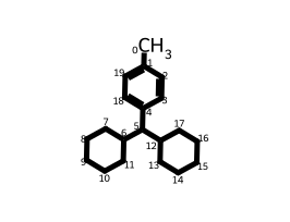 Cc1ccc(C(C2CCCCC2)C2CCCCC2)cc1